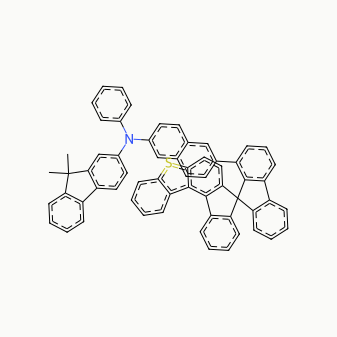 CC1(C)c2ccccc2-c2ccc(N(c3ccccc3)c3ccc4cc(-c5cccc6c5C5(c7ccccc7-6)c6ccccc6-c6c5ccc5sc7ccccc7c65)ccc4c3)cc21